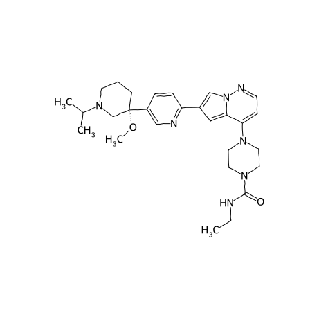 CCNC(=O)N1CCN(c2ccnn3cc(-c4ccc([C@]5(OC)CCCN(C(C)C)C5)cn4)cc23)CC1